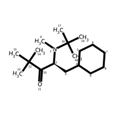 CN([C@@H](CC1CCCCC1)C(=O)C(C)(C)C)C(C)(C)C